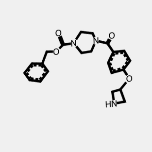 O=C(OCc1ccccc1)N1CCN(C(=O)c2ccc(OC3CNC3)cc2)CC1